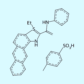 C=C(Nc1ccccc1)C1=S(CC)c2ccc3cc4ccccc4cc3c2N1.Cc1ccc(S(=O)(=O)O)cc1